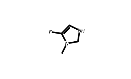 CN1CNC=C1F